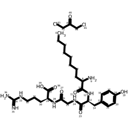 CCCCCCCCC(N)C(=O)N[C@@H](Cc1ccc(O)cc1)C(=O)NCC(=O)N[C@@H](CCCNC(=N)N)C(=O)O.O=C(CCl)CCl